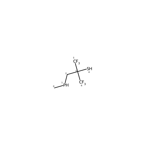 CPCC(S)(C(F)(F)F)C(F)(F)F